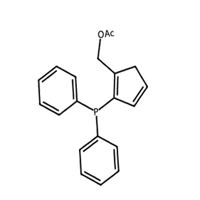 CC(=O)OCC1=C(P(c2ccccc2)c2ccccc2)C=CC1